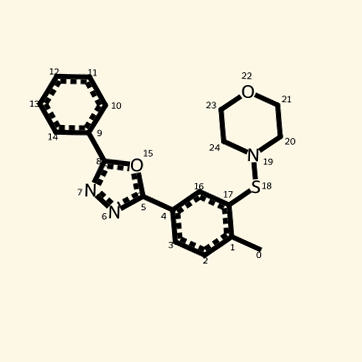 Cc1ccc(-c2nnc(-c3ccccc3)o2)cc1SN1CCOCC1